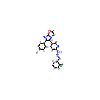 Fc1ccc(-c2nc3occn3c2-c2ccc(N/N=C/c3ccccc3F)nc2)cc1